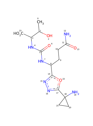 CC(O)C(NC(=O)NC(CCC(N)=O)c1nnc(C2(N)CC2)o1)C(=O)O